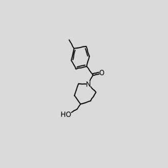 Cc1ccc(C(=O)N2CCC(CO)CC2)cc1